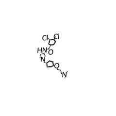 CN(C)CCCOc1ccc(CN2CCC(NC(=O)c3ccc(Cl)c(Cl)c3)C2)cc1